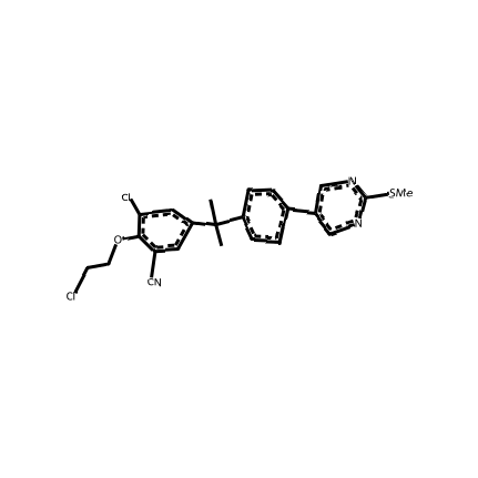 CSc1ncc(-c2ccc(C(C)(C)c3cc(Cl)c(OCCCl)c(C#N)c3)cc2)cn1